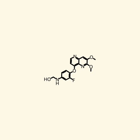 COc1cc2nccc(Oc3ccc(NCO)cc3F)c2nc1OC